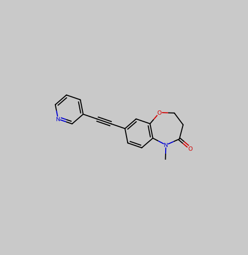 CN1C(=O)CCOc2cc(C#Cc3cccnc3)ccc21